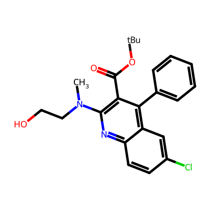 CN(CCO)c1nc2ccc(Cl)cc2c(-c2ccccc2)c1C(=O)OC(C)(C)C